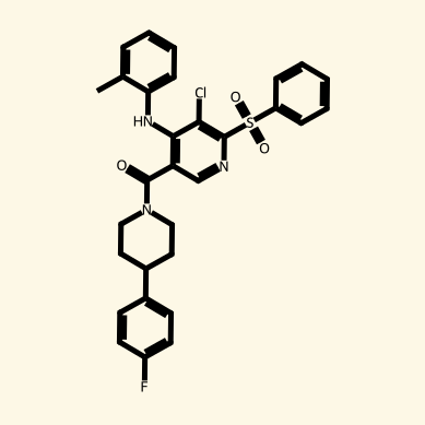 Cc1ccccc1Nc1c(C(=O)N2CCC(c3ccc(F)cc3)CC2)cnc(S(=O)(=O)c2ccccc2)c1Cl